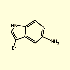 Nc1cc2c(Br)c[nH]c2cn1